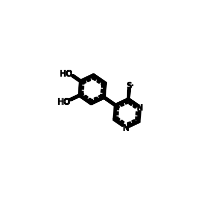 Oc1ccc(-c2cncnc2[S])cc1O